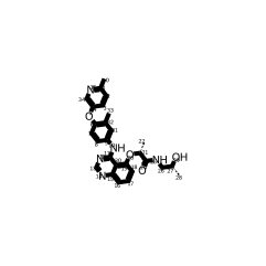 Cc1ccc(Oc2ccc(Nc3ncnc4cccc(O[C@H](C)C(=O)NC[C@@H](C)O)c34)cc2C)cn1